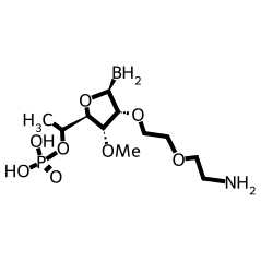 B[C@@H]1O[C@H](C(C)OP(=O)(O)O)[C@@H](OC)[C@H]1OCCOCCN